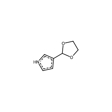 c1cc(C2OCCO2)c[nH]1